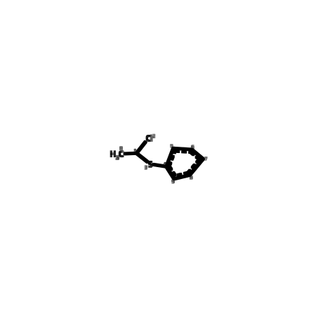 CC(Cl)Sc1ccccc1